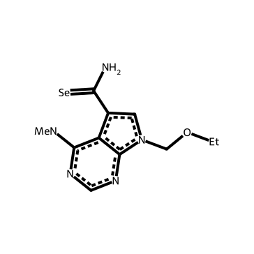 CCOCn1cc(C(N)=[Se])c2c(NC)ncnc21